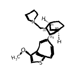 COc1csc2ccc([C@H]3[C@@H]4CC[C@@H](C4)[C@@H]3CN3CCCC3)cc12